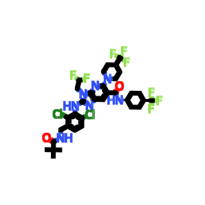 CC(C)(C)C(=O)NCc1ccc(Cl)c(Nc2nc3cc(C(=O)N[C@H]4CC[C@H](C(F)(F)F)CC4)c(N4CCC(C(F)(F)F)CC4)nc3n2CC(F)F)c1Cl